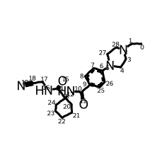 CCN1CCN(c2ccc(C(=O)NC3(C(=O)NCC#N)CCCCC3)cc2)CC1